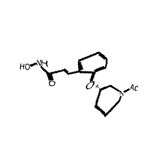 CC(=O)N1CCC[C@H](Oc2ccccc2C=CC(=O)NO)C1